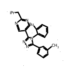 Cc1cccc(-c2nnc(-c3cnc(CC(C)C)nc3)n2-c2ccccc2C(C)(C)C)c1